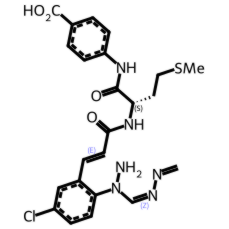 C=N/N=C\N(N)c1ccc(Cl)cc1/C=C/C(=O)N[C@@H](CCSC)C(=O)Nc1ccc(C(=O)O)cc1